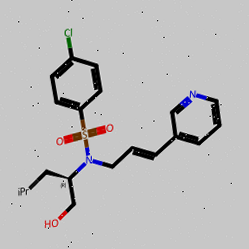 CC(C)C[C@H](CO)N(CC=Cc1cccnc1)S(=O)(=O)c1ccc(Cl)cc1